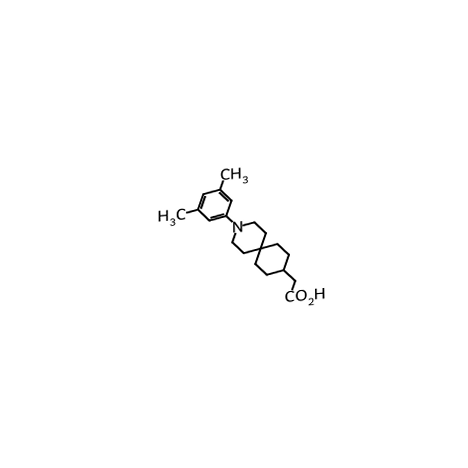 Cc1cc(C)cc(N2CCC3(CCC(CC(=O)O)CC3)CC2)c1